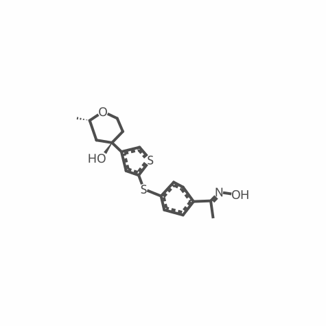 CC(=NO)c1ccc(Sc2cc([C@@]3(O)CCO[C@@H](C)C3)cs2)cc1